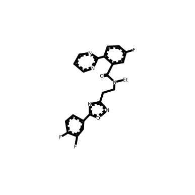 CCN(CCc1noc(-c2ccc(F)c(F)c2)n1)C(=O)c1cc(F)ccc1-c1ncccn1